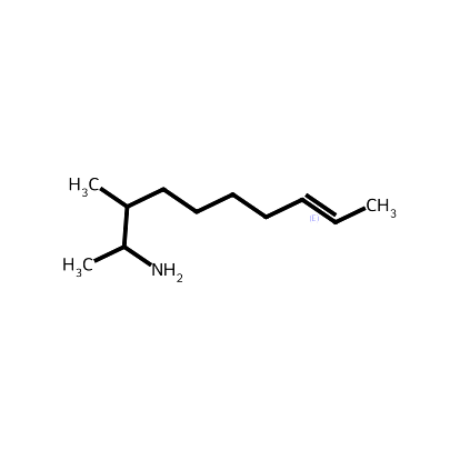 C/C=C/CCCCC(C)C(C)N